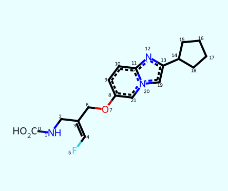 O=C(O)NCC(=CF)COc1ccc2nc(C3CCCC3)cn2c1